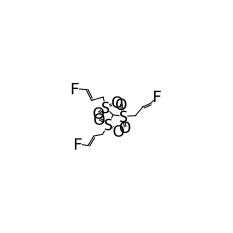 O=S(=O)(CC=CF)C(S(=O)(=O)CC=CF)S(=O)(=O)CC=CF